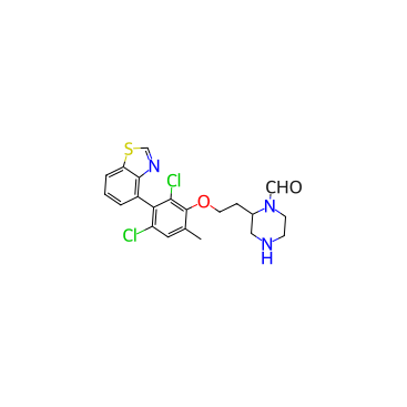 Cc1cc(Cl)c(-c2cccc3scnc23)c(Cl)c1OCCC1CNCCN1C=O